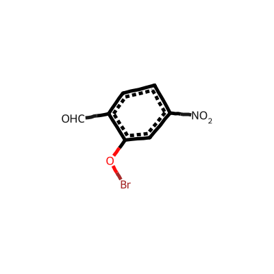 O=Cc1ccc([N+](=O)[O-])cc1OBr